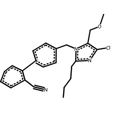 CCCCc1nc(Cl)c(COC)n1Cc1ccc(-c2ccccc2C#N)cc1